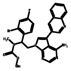 CN(C(=O)OC(C)(C)C)C(Cn1cc(-c2cnc3ccccc3c2)c2c(N)ncnc21)c1ccc(F)cc1Br